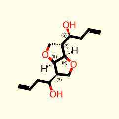 C=CCC(O)[C@@H]1CO[C@@H]2[C@@H]([C@@H](O)CC=C)CO[C@@H]21